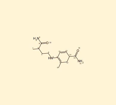 CC1=C(NCCC(C)C(N)=O)C=CC(C(N)=O)C1